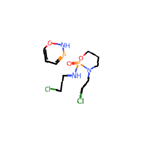 C1=CONP=C1.O=P1(NCCCl)OCCCN1CCCl